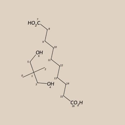 CC(C)(CO)CO.O=C(O)CCCCCCCCC(=O)O